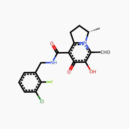 C[C@H]1CCc2c(C(=O)NCc3cccc(Cl)c3F)c(=O)c(O)c(C=O)n21